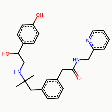 CC(C)(Cc1cccc(CC(=O)NCc2ccccn2)c1)NCC(O)c1ccc(O)cc1